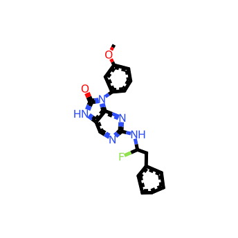 COc1cccc(-n2c(=O)[nH]c3cnc(NC(F)Cc4ccccc4)nc32)c1